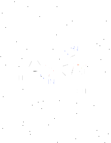 CCCCCNC(=O)Nc1c(C)cccc1OCCCn1cnc(CS(C)(=O)=O)c1-c1ccccc1